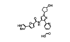 O=C(Nc1cn([C@H]2CC[C@@H](O)C2)nc1-c1ccccn1)c1ccc(-c2cn[nH]c2)o1.O=CO